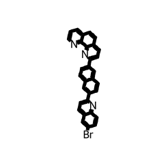 Brc1ccc2nc(-c3ccc4cc(-c5ccc6ccc7cccnc7c6n5)ccc4c3)ccc2c1